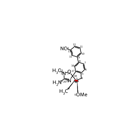 CO[C@@H]1CC2(Cc3ccc(-c4cccc(C#N)c4)cc3C23N=C(N)N(C)O3)C[C@@H]1C